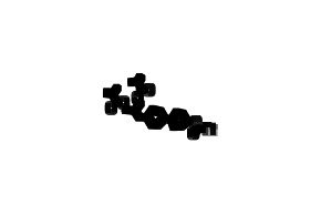 C=C(C)C(=O)OCC(COC(=O)C(=C)C)Cc1ccc(-c2ccc(OC(=O)CC)cc2)cc1